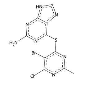 Cc1nc(Cl)c(Br)c(Sc2nc(N)nc3[nH]cnc23)n1